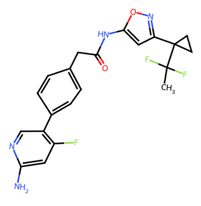 CC(F)(F)C1(c2cc(NC(=O)Cc3ccc(-c4cnc(N)cc4F)cc3)on2)CC1